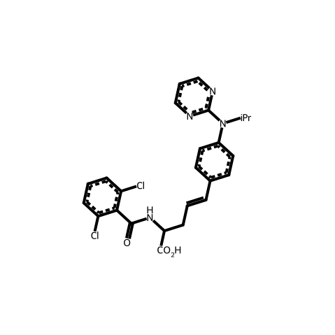 CC(C)N(c1ccc(C=CCC(NC(=O)c2c(Cl)cccc2Cl)C(=O)O)cc1)c1ncccn1